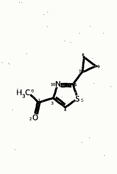 CC(=O)c1csc(C2CC2)n1